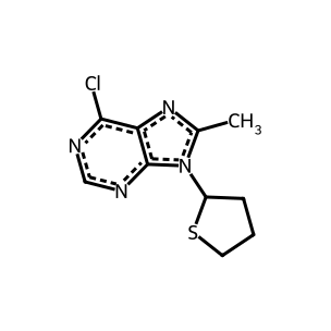 Cc1nc2c(Cl)ncnc2n1C1CCCS1